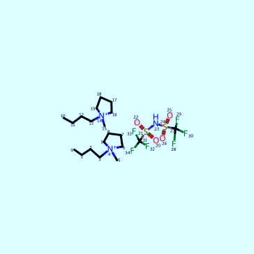 CCCC[N+]1(C)CCCC1.CCCC[N+]1(C)CCCC1.O=S(=O)(NS(=O)(=O)C(F)(F)F)C(F)(F)F